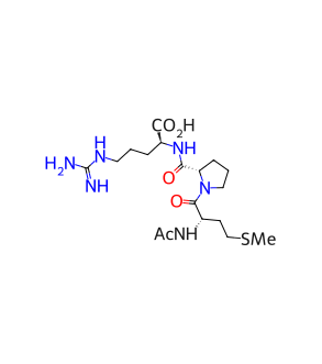 CSCC[C@H](NC(C)=O)C(=O)N1CCC[C@H]1C(=O)N[C@@H](CCCNC(=N)N)C(=O)O